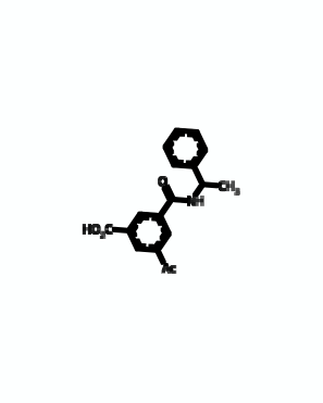 CC(=O)c1cc(C(=O)O)cc(C(=O)NC(C)c2ccccc2)c1